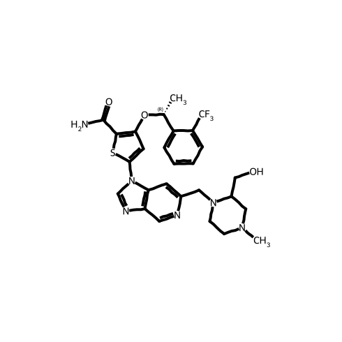 C[C@@H](Oc1cc(-n2cnc3cnc(CN4CCN(C)CC4CO)cc32)sc1C(N)=O)c1ccccc1C(F)(F)F